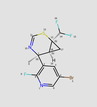 C[C@]1(c2cc(Br)cnc2F)N=[C]S[C@@]2(C(F)F)C[C@@H]12